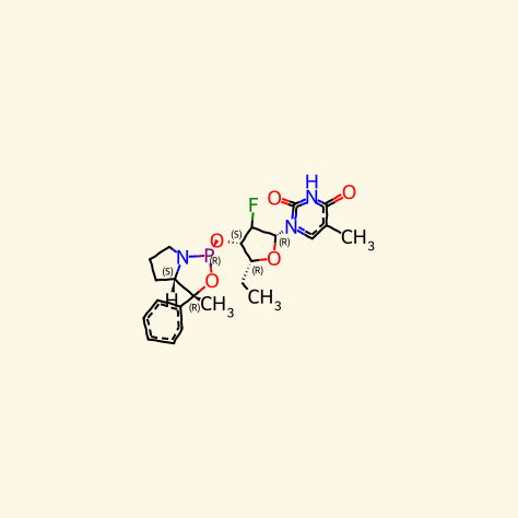 CC[C@H]1O[C@@H](n2cc(C)c(=O)[nH]c2=O)C(F)[C@H]1O[P@@]1O[C@](C)(c2ccccc2)[C@@H]2CCCN21